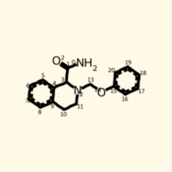 NC(=O)C1c2cc[c]cc2CCN1COc1ccccc1